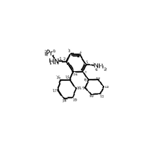 CC(C)Nc1ccc(N)c(C2CCCCC2)c1C1CCCCC1